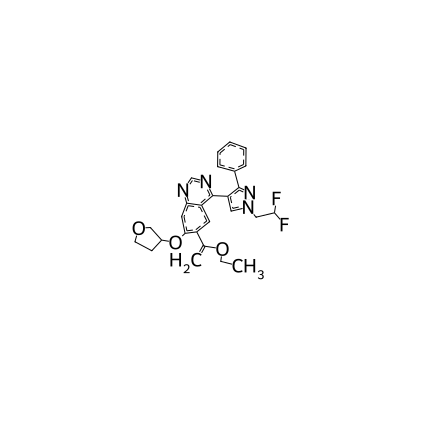 C=C(OCC)c1cc2c(-c3cn(CC(F)F)nc3-c3ccccc3)ncnc2cc1OC1CCOC1